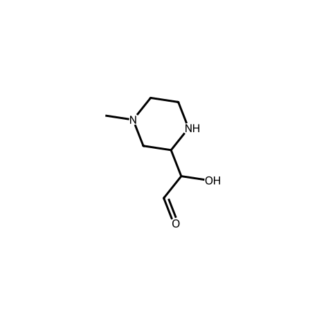 CN1CCNC(C(O)C=O)C1